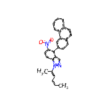 C/C=C\C=C(/C)n1ncc2c(-c3ccc4ccc5ccccc5c4c3)c([N+](=O)[O-])ccc21